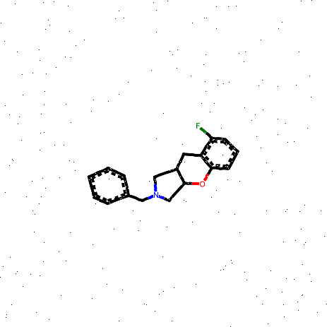 Fc1cccc2c1CC1CN(Cc3ccccc3)CC1O2